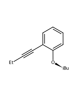 CCC#Cc1ccccc1O[C@H](C)CC